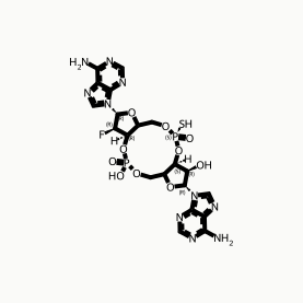 Nc1ncnc2c1ncn2[C@@H]1OC2COP(=O)(O)O[C@@H]3C(CO[P@](=O)(S)O[C@H]2[C@H]1O)O[C@@H](n1cnc2c(N)ncnc21)[C@@H]3F